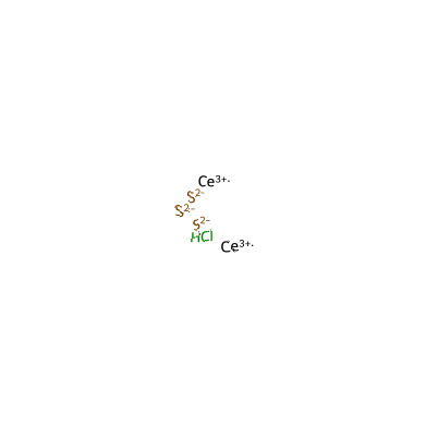 Cl.[Ce+3].[Ce+3].[S-2].[S-2].[S-2]